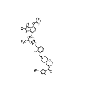 CC(C)c1csc(C(=O)N2CCOC3(CCN(Cc4cccc(CCNC[C@H](OC(=O)C(F)(F)F)c5ccc(OC(=O)C(F)(F)F)c6[nH]c(=O)sc56)c4F)CC3)C2)c1